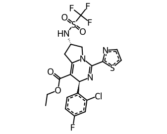 CCOC(=O)C1=C2C[C@H](NS(=O)(=O)C(F)(F)F)CN2C(c2nccs2)=N[C@H]1c1ccc(F)cc1Cl